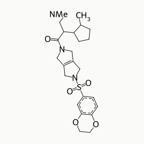 CNCC(C(=O)N1CC2=C(C1)CN(S(=O)(=O)c1ccc3c(c1)OCCO3)C2)C1CCCC1C